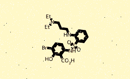 CCN(CC)CCCNc1ccccc1S(=O)(=O)Nc1ccc(Br)c(O)c1C(=O)O